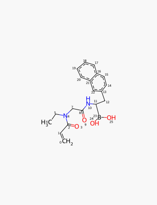 C=CC(=O)N(CC)CC(=O)NC(Cc1ccc2ccccc2c1)B(O)O